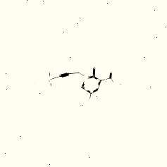 COC(=O)c1cc(Br)cn(CC#C[Si](C)(C)C)c1=O